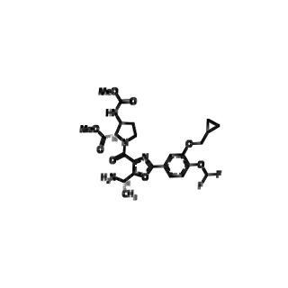 COC(=O)NC1CCN(C(=O)c2nc(-c3ccc(OC(F)F)c(OCC4CC4)c3)oc2[C@H](C)N)[C@@H]1C(=O)OC